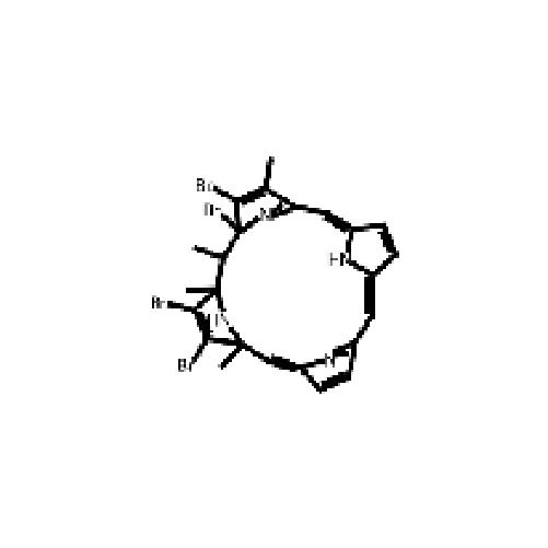 CC1=C(Br)C2(Br)N=C1C=c1ccc([nH]1)=CC1=NC(=CC3(C)NC(C)(C(Br)=C3Br)C2C)C=C1